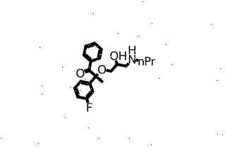 CCCNCC(O)COC(C)(C(=O)c1ccccc1)c1cccc(F)c1